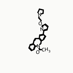 CC(=O)N1Cc2ccc(-c3cccc(OCCN4CCCC4)n3)cc2C=Cc2ccccc21